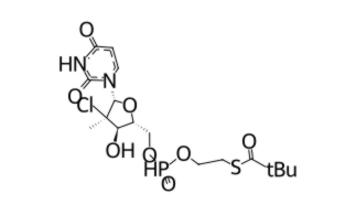 CC(C)(C)C(=O)SCCO[PH](=O)OC[C@H]1O[C@@H](n2ccc(=O)[nH]c2=O)[C@](C)(Cl)[C@@H]1O